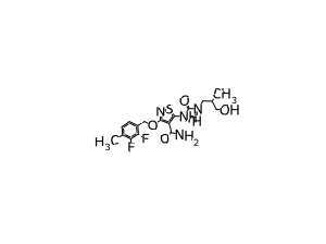 Cc1ccc(COc2nsc(NC(=O)NCC(C)CO)c2C(N)=O)c(F)c1F